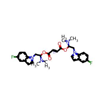 CN(C)C(Cn1ccc2cc(F)ccc21)OC(=O)/C=C/C(=O)OC(Cn1ccc2cc(F)ccc21)N(C)C